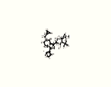 CNC(=O)[C@@H](NC(=O)c1nc(-c2ccsc2)n2c1CN(CC1CC1)CC2)C(C)(C)C